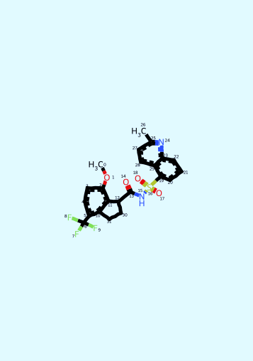 COc1ccc(C(F)(F)F)c2c1C(C(=O)NS(=O)(=O)c1cccc3nc(C)ccc13)CC2